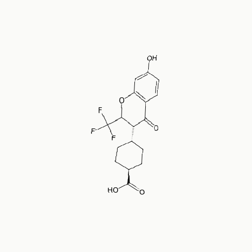 O=C1c2ccc(O)cc2OC(C(F)(F)F)C1[C@H]1CC[C@H](C(=O)O)CC1